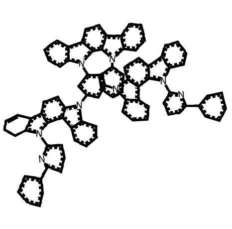 C1=Cc2c(n(-c3cccc(-c4ccccc4)n3)c3c2ccc2c3c3ccccc3n2-c2cc(-n3c4ccccc4c4c3ccc3c5ccccc5n(-c5cccc(-c6ccccc6)n5)c34)cc(-n3c4ccccc4c4ccc5c6ccccc6n(-c6ccccc6)c5c43)c2)CC1